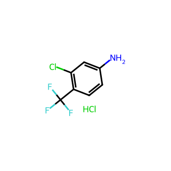 Cl.Nc1ccc(C(F)(F)F)c(Cl)c1